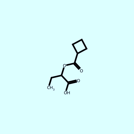 CCC(OC(=O)C1CCC1)C(=O)O